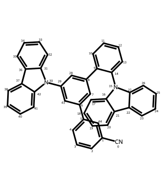 N#Cc1cccc(-c2cc(-c3ccccc3-n3c4ccccc4c4ccccc43)cc(-n3c4ccccc4c4ccccc43)c2)c1